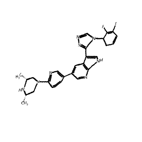 C[C@@H]1CN(c2ccc(-c3cnc4[nH]cc(-c5nncn5C5CC=CC(F)=C5F)c4c3)cn2)C[C@H](C)N1